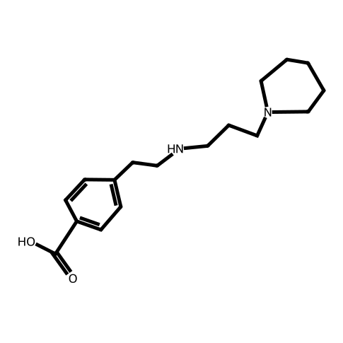 O=C(O)c1ccc(CCNCCCN2CCCCC2)cc1